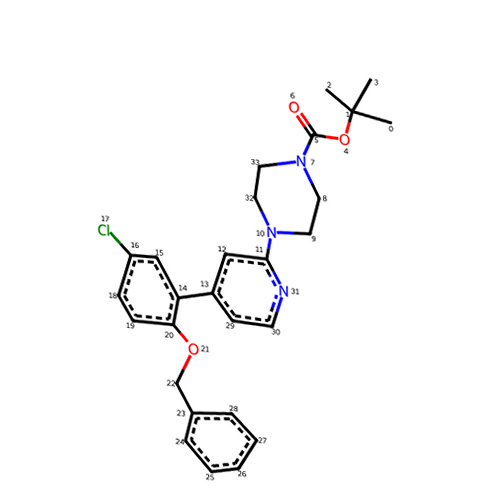 CC(C)(C)OC(=O)N1CCN(c2cc(-c3cc(Cl)ccc3OCc3ccccc3)ccn2)CC1